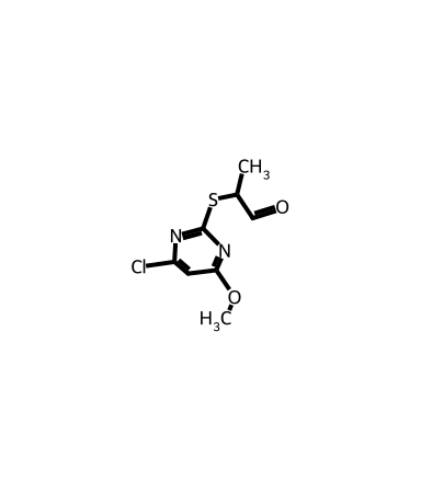 COc1cc(Cl)nc(SC(C)C=O)n1